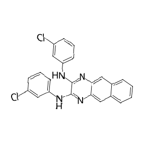 Clc1cccc(Nc2nc3cc4ccccc4cc3nc2Nc2cccc(Cl)c2)c1